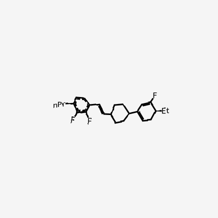 CCCc1ccc(/C=C/C2CCC(C3=CC[C@H](CC)C(F)=C3)CC2)c(F)c1F